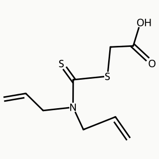 C=CCN(CC=C)C(=S)SCC(=O)O